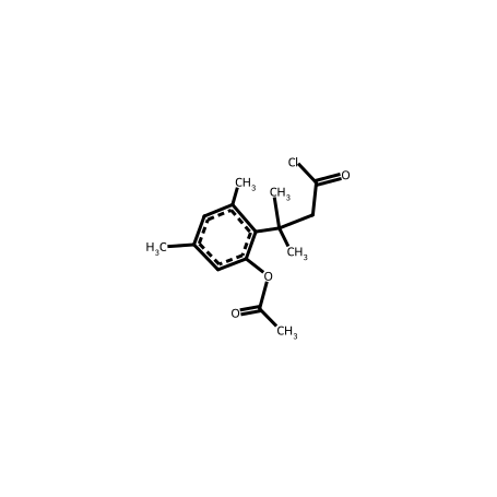 CC(=O)Oc1cc(C)cc(C)c1C(C)(C)CC(=O)Cl